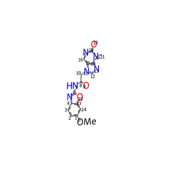 COc1ccc2nc(NC(=O)Cn3cnc4c3cnc(=O)n4C)oc2c1